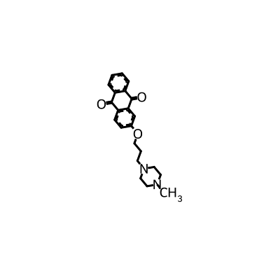 CN1CCN(CCCOc2ccc3c(c2)C(=O)c2ccccc2C3=O)CC1